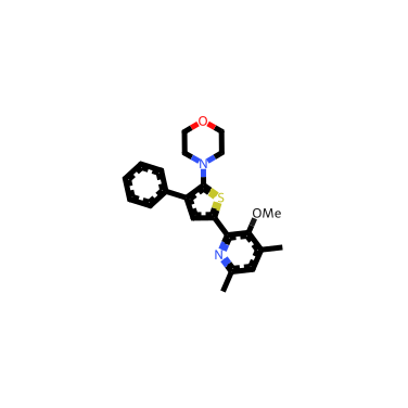 COc1c(C)cc(C)nc1-c1cc(-c2ccccc2)c(N2CCOCC2)s1